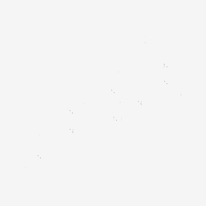 CCn1nc(Cl)c2cnc(Nc3cn(C4CN(C)C4)nc3C)nc21